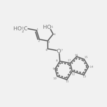 O=C(O)C=CC(CO)COc1cccc2ccccc12